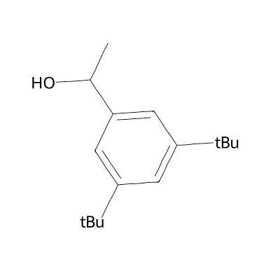 CC(O)c1cc(C(C)(C)C)cc(C(C)(C)C)c1